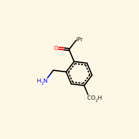 CC(C)C(=O)c1ccc(C(=O)O)cc1CN